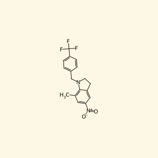 Cc1cc([N+](=O)[O-])cc2c1N(Cc1ccc(C(F)(F)F)cc1)CC2